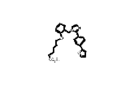 CCOC(=O)CCCCCOc1ccccc1Cn1ccnc1-c1ccc(-c2ccco2)cc1